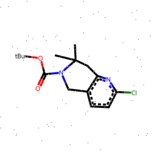 CC(C)(C)OC(=O)N1Cc2ccc(Cl)nc2CC1(C)C